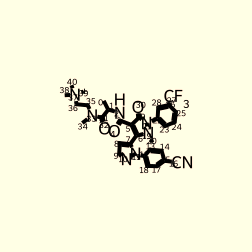 CC(NC(=O)c1c(-c2ccnn2-c2ccc(C#N)cc2)n(C)n(-c2cccc(C(F)(F)F)c2)c1=O)C(=O)N(C)CC[N+](C)(C)C